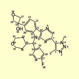 Cc1nnn(C)c1-c1cnc2c3ccc(C4(O)COC4)cc3n(C(c3ccc(F)cc3)C3CCOCC3)c2c1